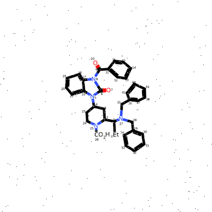 CCC(C1CC(n2c(=O)n(C(=O)c3ccccc3)c3ccccc32)CCN1C(=O)O)N(Cc1ccccc1)Cc1ccccc1